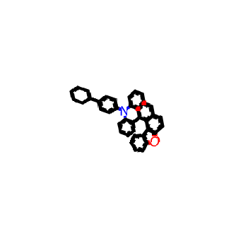 c1ccc(N(c2ccc(C3CCCCC3)cc2)c2ccccc2-c2cccc3ccc4oc5ccccc5c4c23)cc1